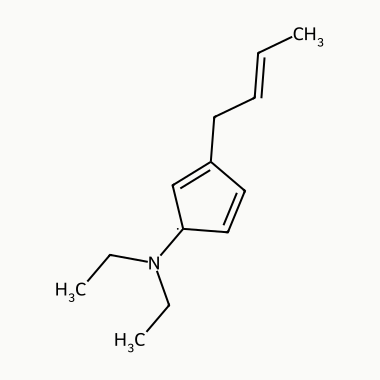 C/C=C/CC1=C[C](N(CC)CC)C=C1